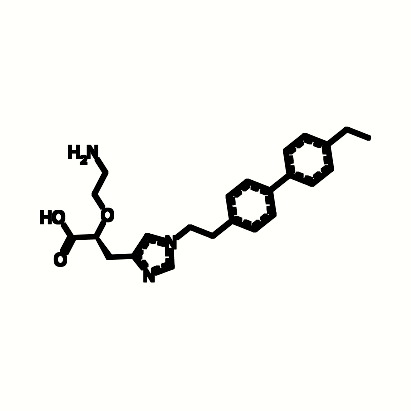 CCc1ccc(-c2ccc(CCn3cnc(C[C@H](OCCN)C(=O)O)c3)cc2)cc1